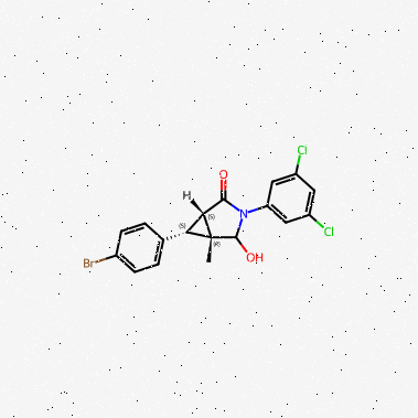 C[C@]12C(O)N(c3cc(Cl)cc(Cl)c3)C(=O)[C@H]1[C@H]2c1ccc(Br)cc1